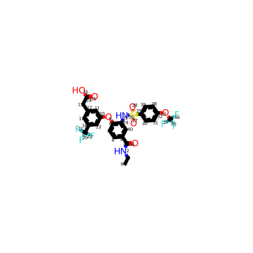 CCNC(=O)c1ccc(Oc2cc(CC(=O)O)cc(C(F)(F)F)c2)c(NS(=O)(=O)c2ccc(OC(F)(F)F)cc2)c1